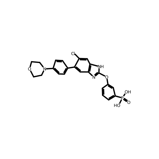 O=P(O)(O)c1cccc(Oc2nc3cc(-c4ccc(N5CCOCC5)cc4)c(Cl)cc3[nH]2)c1